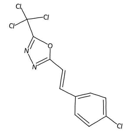 Clc1ccc(C=Cc2nnc(C(Cl)(Cl)Cl)o2)cc1